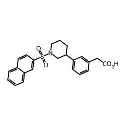 O=C(O)Cc1cccc(C2CCCN(S(=O)(=O)c3ccc4ccccc4c3)C2)c1